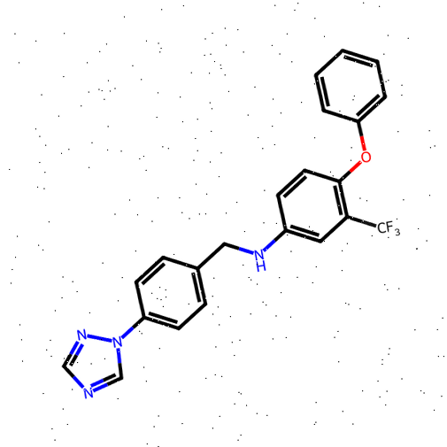 FC(F)(F)c1cc(NCc2ccc(-n3cncn3)cc2)ccc1Oc1ccccc1